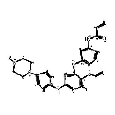 C=CSc1c(C)nc(Nc2ccc(N3CCN(C)CC3)cc2)nc1Oc1cccc(NC(=O)C=C)c1